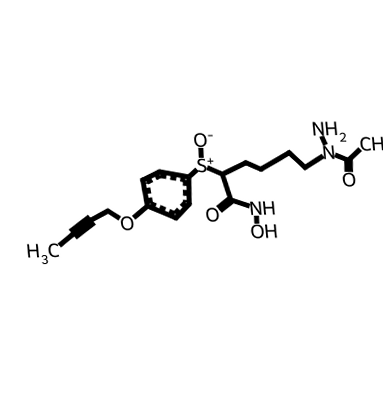 CC#CCOc1ccc([S+]([O-])C(CCCCN(N)C(C)=O)C(=O)NO)cc1